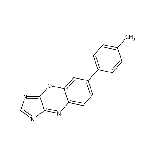 Cc1ccc(-c2ccc3nc4ncnc-4oc3c2)cc1